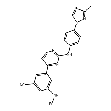 Cc1ncn(-c2ccc(Nc3nccc(-c4cc(C#N)cc(NC(C)C)c4)n3)cc2)n1